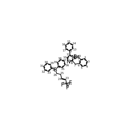 Brc1ccccc1Cc1ncc(-c2ccccc2)[nH]1.FC(F)(F)C=CCCB(c1ccccc1)c1ccccc1